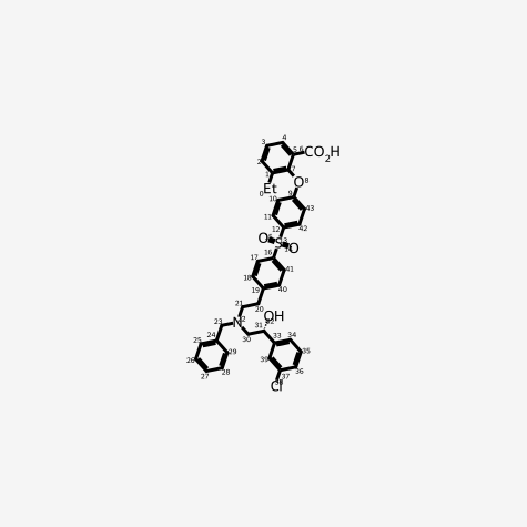 CCc1cccc(C(=O)O)c1Oc1ccc(S(=O)(=O)c2ccc(CCN(Cc3ccccc3)C[C@H](O)c3cccc(Cl)c3)cc2)cc1